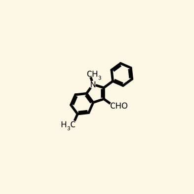 Cc1ccc2c(c1)c(C=O)c(-c1ccccc1)n2C